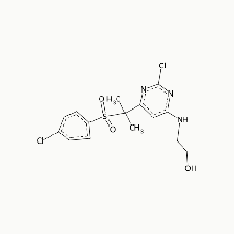 CC(C)(c1cc(NCCO)nc(Cl)n1)S(=O)(=O)c1ccc(Cl)cc1